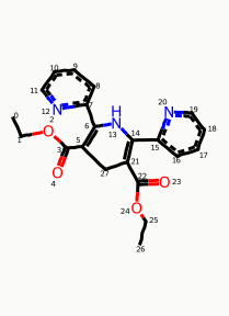 CCOC(=O)C1=C(c2ccccn2)NC(c2ccccn2)=C(C(=O)OCC)C1